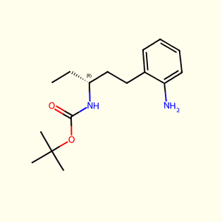 CC[C@H](CCc1ccccc1N)NC(=O)OC(C)(C)C